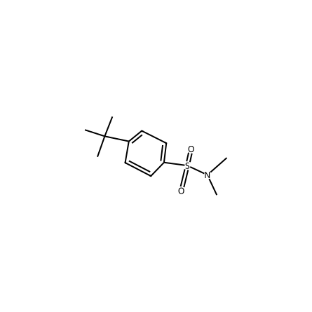 CN(C)S(=O)(=O)c1ccc(C(C)(C)C)cc1